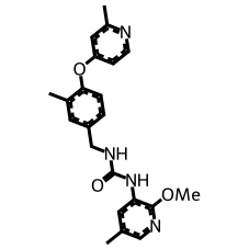 COc1ncc(C)cc1NC(=O)NCc1ccc(Oc2ccnc(C)c2)c(C)c1